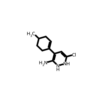 CC1CC=C(C2=C(N)NNC(Cl)=C2)CC1